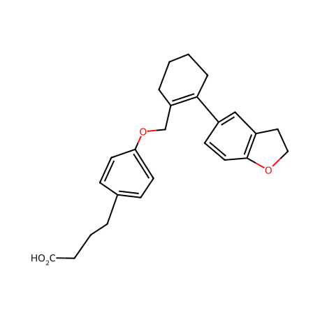 O=C(O)CCCc1ccc(OCC2=C(c3ccc4c(c3)CCO4)CCCC2)cc1